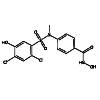 CN(c1ccc(C(=O)NO)cc1)S(=O)(=O)c1cc(O)c(Cl)cc1Cl